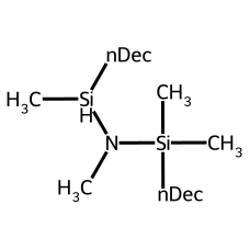 CCCCCCCCCC[SiH](C)N(C)[Si](C)(C)CCCCCCCCCC